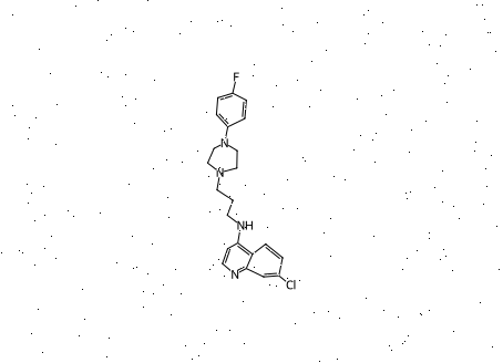 Fc1ccc(N2CCN(CCCNc3ccnc4cc(Cl)ccc34)CC2)cc1